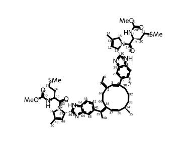 C/C=C1\C=C(\c2ccc3[nH]c([C@@H]4C=C(C)CN4C(=O)[C@H](CCSC)NC(=O)OC)nc3c2)[C@H](C)CC[C@@H](C)/C=C\C(=C(/C)c2ccc3[nH]c([C@@H]4C=C(C)CN4C(=O)[C@H](CCSC)NC(=O)OC)nc3c2)CC1